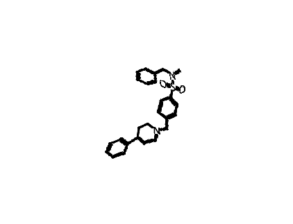 CN(Cc1ccccc1)S(=O)(=O)c1ccc(CN2CCC(c3ccccc3)CC2)cc1